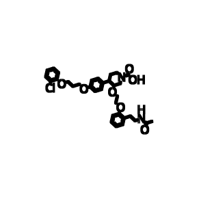 CC(=O)NCCc1ccccc1OCCOC1CN(C(=O)O)CCC1c1ccc(OCCCOc2ccccc2Cl)cc1